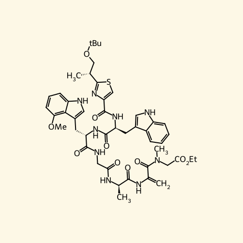 C=C(NC(=O)[C@@H](C)NC(=O)CNC(=O)[C@H](Cc1c[nH]c2cccc(OC)c12)NC(=O)[C@H](Cc1c[nH]c2ccccc12)NC(=O)c1csc([C@H](C)COC(C)(C)C)n1)C(=O)N(C)CC(=O)OCC